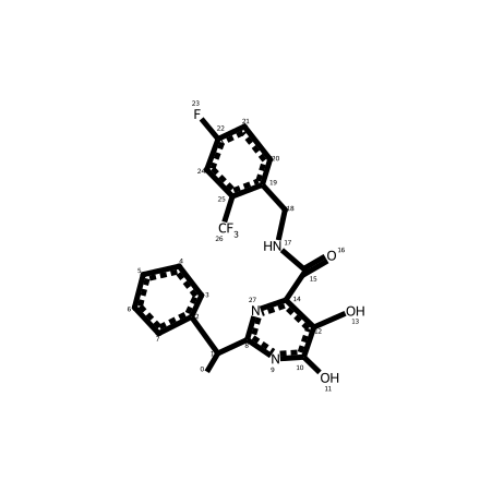 CC(c1ccccc1)c1nc(O)c(O)c(C(=O)NCc2ccc(F)cc2C(F)(F)F)n1